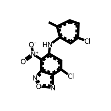 Cc1ccc(Cl)cc1Nc1cc(Cl)c2nonc2c1[N+](=O)[O-]